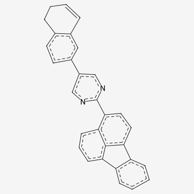 C1=Cc2cc(-c3cnc(-c4ccc5c6c(cccc46)-c4ccccc4-5)nc3)ccc2CC1